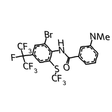 CNc1cccc(C(=O)Nc2c(Br)cc(C(F)(C(F)(F)F)C(F)(F)F)cc2SC(F)(F)F)c1